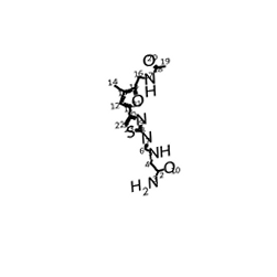 COC(N)CNC=Nc1nc(-c2cc(C)c(CNC(C)=O)o2)cs1